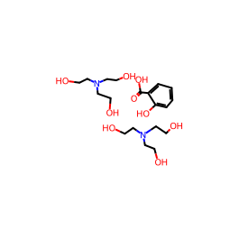 O=C(O)c1ccccc1O.OCCN(CCO)CCO.OCCN(CCO)CCO